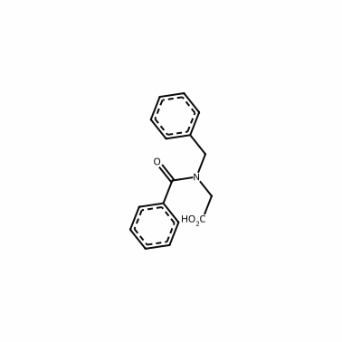 O=C(O)CN(Cc1ccccc1)C(=O)c1ccccc1